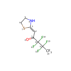 O=C(/C=C1/NCCS1)C(F)(F)C(F)(F)C(F)(F)F